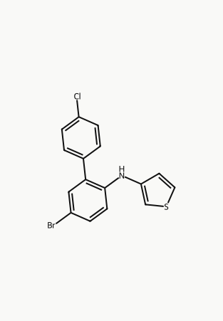 Clc1ccc(-c2cc(Br)ccc2Nc2ccsc2)cc1